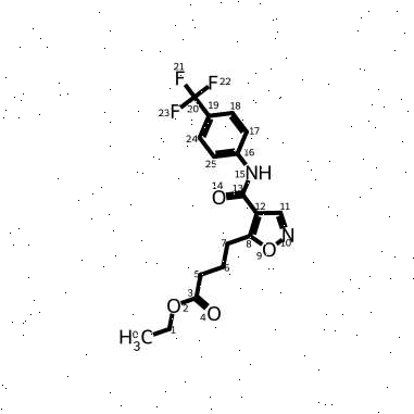 CCOC(=O)CCCc1oncc1C(=O)Nc1ccc(C(F)(F)F)cc1